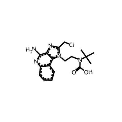 CC(C)(C)N(CCn1c(CCl)nc2c(N)nc3ccccc3c21)C(=O)O